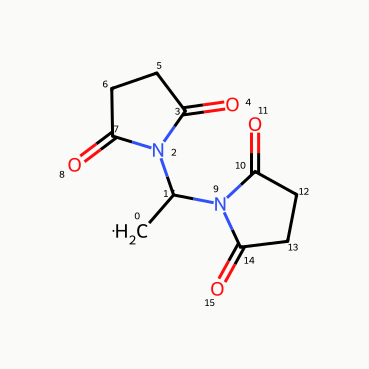 [CH2][C](N1C(=O)CCC1=O)N1C(=O)CCC1=O